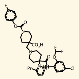 CC(C)c1ccnn1C1(C(=O)Nc2ccc(Cl)cc2OC(F)F)CCN(CC2(C(=O)O)CCN(C(=O)Oc3ccc(F)cc3)CC2)CC1